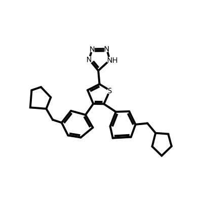 c1cc(CC2CCCC2)cc(-c2cc(-c3nnn[nH]3)sc2-c2cccc(CC3CCCC3)c2)c1